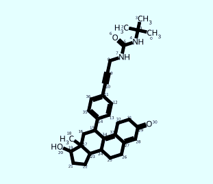 CC(C)(C)NC(=O)NCC#Cc1ccc(C2CC3(C)C(O)CCC3C3CCC4=CC(=O)CCC4=C23)cc1